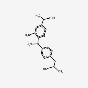 CC(O)Cc1ccc(N(N)c2ncc(C(C)C=O)cc2[N+](=O)[O-])cc1